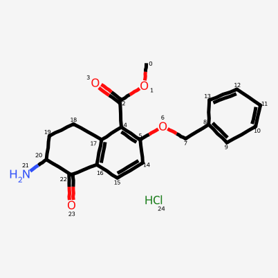 COC(=O)c1c(OCc2ccccc2)ccc2c1CCC(N)C2=O.Cl